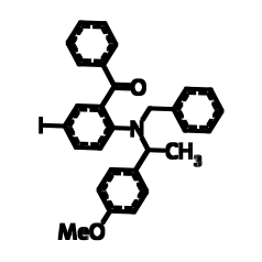 COc1ccc(C(C)N(Cc2ccccc2)c2ccc(I)cc2C(=O)c2ccccc2)cc1